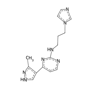 Cc1n[nH]cc1-c1ccnc(NCCCn2ccnc2)n1